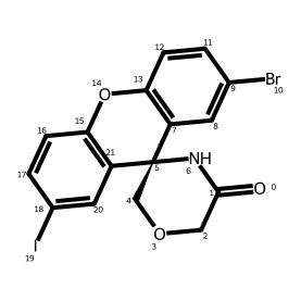 O=C1COC[C@]2(N1)c1cc(Br)ccc1Oc1ccc(I)cc12